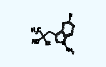 CCC(C)(O)Cc1cn(N)c2ccc(F)cc12